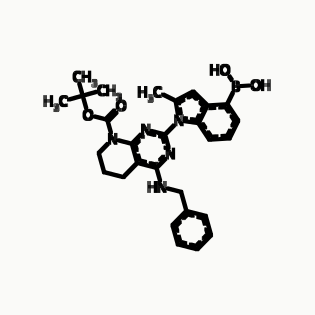 Cc1cc2c(B(O)O)cccc2n1-c1nc(NCc2ccccc2)c2c(n1)N(C(=O)OC(C)(C)C)CCC2